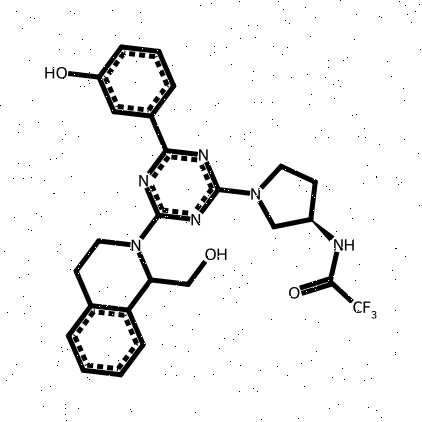 O=C(N[C@@H]1CCN(c2nc(-c3cccc(O)c3)nc(N3CCc4ccccc4C3CO)n2)C1)C(F)(F)F